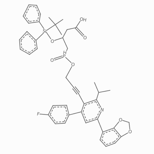 CC(C)c1nc(-c2cccc3c2OCO3)cc(-c2ccc(F)cc2)c1C#CCO[PH](=O)CC(CC(=O)O)O[Si](c1ccccc1)(c1ccccc1)C(C)(C)C